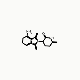 C=C1CCC(n2c(=C)c3c(c2=C)=C(N)CCC=3)C(=O)N1